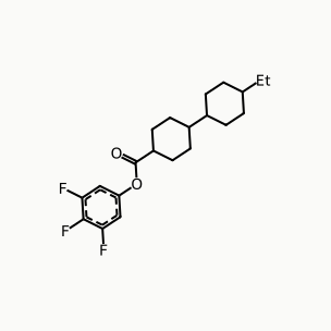 CCC1CCC(C2CCC(C(=O)Oc3cc(F)c(F)c(F)c3)CC2)CC1